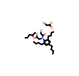 CCCCc1cc(CCCC)c(N(CC2OCC(CCC)O2)C(=O)CCl)c(CCCC)c1.O=C(Cl)CCl